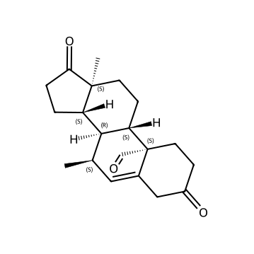 C[C@@H]1C=C2CC(=O)CC[C@]2(C=O)[C@H]2CC[C@]3(C)C(=O)CC[C@H]3[C@H]12